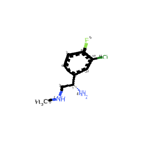 CNC[C@@H](N)c1ccc(F)c(Cl)c1